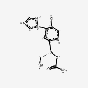 NC(=O)O[C@H](CO)c1cc(-n2cncn2)c(Cl)cn1